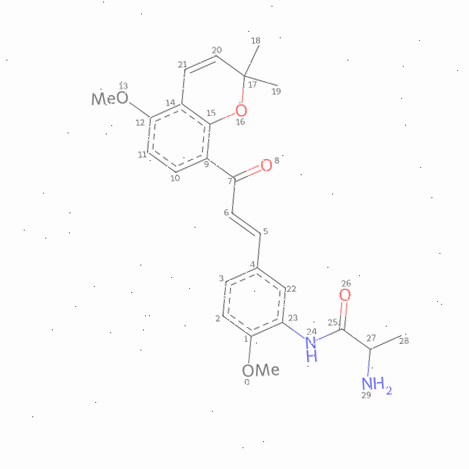 COc1ccc(C=CC(=O)c2ccc(OC)c3c2OC(C)(C)C=C3)cc1NC(=O)C(C)N